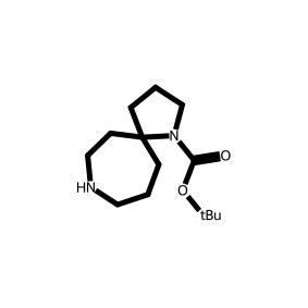 CC(C)(C)OC(=O)N1CCCC12CCCNCC2